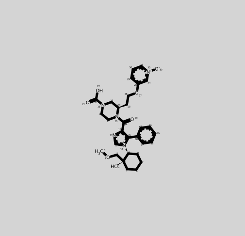 COC[C@]1(O)CCCC[C@H]1n1cnc(C(=O)N2CCN(C(=O)O)C[C@H]2CCOc2ccc[n+]([O-])c2)c1-c1ccccc1